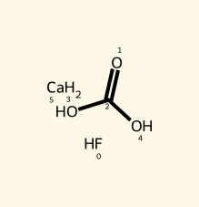 F.O=C(O)O.[CaH2]